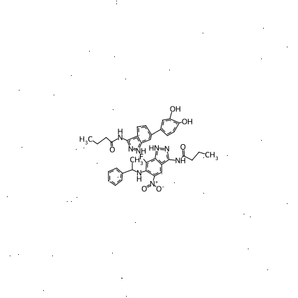 CCCC(=O)Nc1n[nH]c2c(F)c(NC(C)c3ccccc3)c([N+](=O)[O-])cc12.CCCC(=O)Nc1n[nH]c2cc(-c3ccc(O)c(O)c3)ccc12